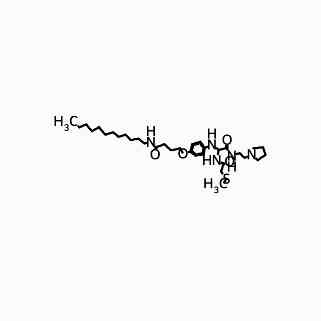 CCCCCCCCCCCCNC(=O)CCCOc1ccc(NC(NC(=O)CSC)C(=O)NCCN2CCCC2)cc1